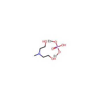 CCOP(=O)(O)OCC.CN(CCO)CCO